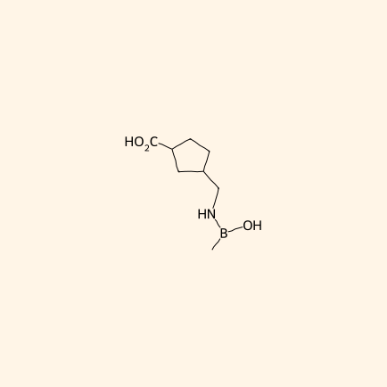 CB(O)NCC1CCC(C(=O)O)C1